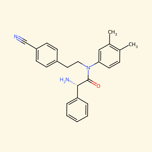 Cc1ccc(N(CCc2ccc(C#N)cc2)C(=O)[C@@H](N)c2ccccc2)cc1C